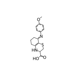 COc1ccc(/N=C2\CCCC3=C2SCC(C(=O)O)N3)cc1